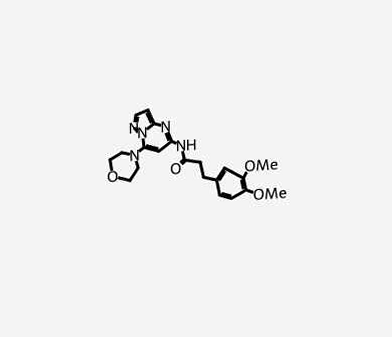 COc1ccc(CCC(=O)Nc2cc(N3CCOCC3)n3nccc3n2)cc1OC